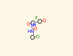 COc1ccc(-c2ccc(=O)n(CC(=O)NCc3ccccc3Cl)n2)c(F)c1